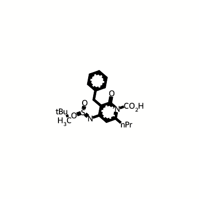 CC(C)(C)C.CCCc1cc(N=S(=O)=O)c(Cc2ccccc2)c(=O)n1C(=O)O